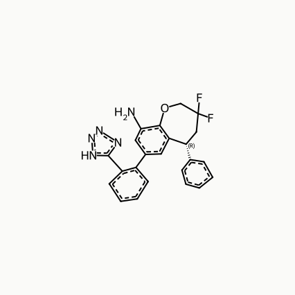 Nc1cc(-c2ccccc2-c2nnn[nH]2)cc2c1OCC(F)(F)C[C@@H]2c1ccccc1